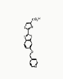 O=C(O)C1CSC(c2nc3ccc(OCc4ccncc4)cc3s2)=N1